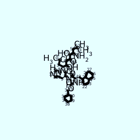 CC(C)CC(NC(=O)[C@H](Cc1c[nH]cn1)NC(=O)[C@H](Cc1cccc2ccccc12)NC(=O)OCc1ccccc1)C(O)CC(=O)C(O)[C@@H](N)CC(C)C